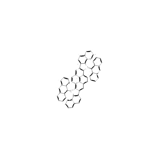 c1ccc2c3c(ccc2c1)-c1cc2ccc4c5c(cc6ccc(c1B3c1c3ccccc3cc3ccccc13)c2c64)-c1ccc2ccccc2c1B5c1c2ccccc2cc2ccccc12